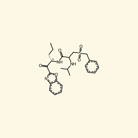 CCC[C@H](NC(=O)C(CS(=O)(=O)Cc1ccccc1)NC(C)C)C(=O)c1nc2ccccc2o1